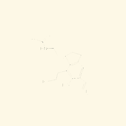 C=Cc1cc2c(c(CCO)c1O)[C@H](CCNC(=O)CC)CC2